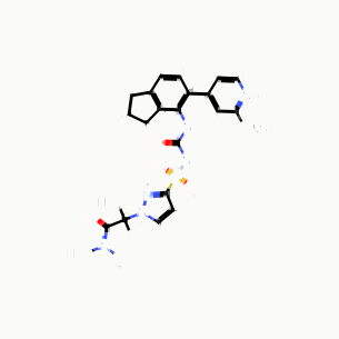 COc1cc(-c2ccc3c(c2NC(=O)NS(=O)(=O)c2ccn(C(C)(C)C(=O)N(C)C)n2)CCC3)ccn1